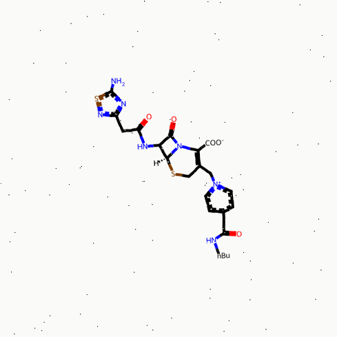 CCCCNC(=O)c1cc[n+](CC2=C(C(=O)[O-])N3C(=O)C(NC(=O)Cc4nsc(N)n4)[C@@H]3SC2)cc1